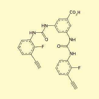 C#Cc1cccc(NC(=O)Nc2cc(NC(=O)Nc3cccc(C#C)c3F)cc(C(=O)O)c2)c1F